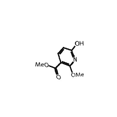 COC(=O)c1ccc(O)nc1OC